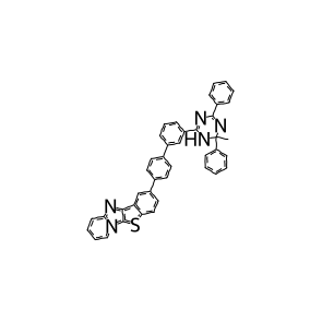 CC1(c2ccccc2)N=C(c2ccccc2)N=C(c2cccc(-c3ccc(-c4ccc5sc6c(nc7ccccn76)c5c4)cc3)c2)N1